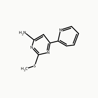 CSc1nc(N)cc(-c2ccccn2)n1